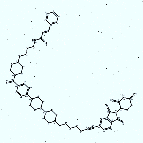 O=C(/C=C/c1cccnc1)NCCCCC1CCN(C(=O)c2ccc(N3CCC(N4CCN(CCCCCC#Cc5ccc6c(c5)C(=O)N(C5CCC(=O)NC5=O)C6=O)CC4)CC3)nn2)CC1